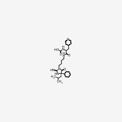 CC(C)C[C@@]1(c2ccccc2)NC(=N)N(CCCCNC(=O)C(Cc2ccncc2)NC(=O)O)C1=O